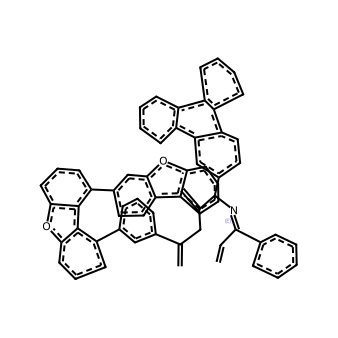 C=C/C(=N\C(C(=C)CC(=C)c1cccc(-c2cccc3oc4cccc(-c5ccc6c(c5)oc5ccccc56)c4c23)c1)c1ccc2c3ccccc3c3ccccc3c2c1)c1ccccc1